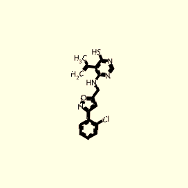 C=C(C)c1c(S)ncnc1NCc1cc(-c2ccccc2Cl)no1